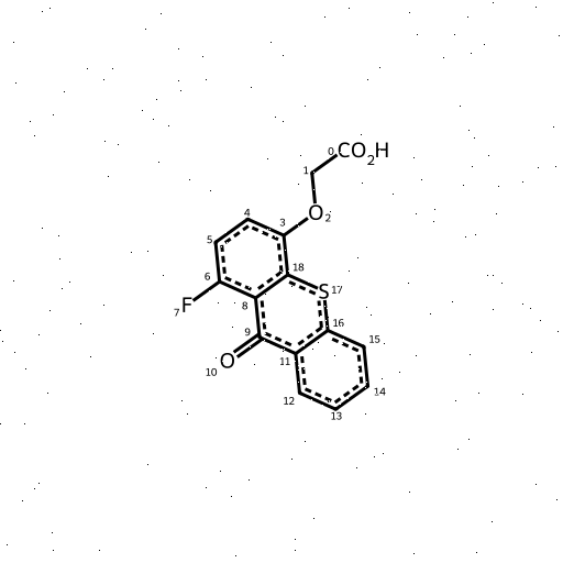 O=C(O)COc1ccc(F)c2c(=O)c3ccccc3sc12